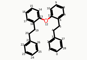 c1ccc(CCc2ccccc2Oc2ccccc2CCc2ccccc2)cc1